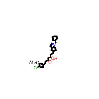 COc1cc(C=CC(=O)CC(O)CCc2ccc3c(ccn3Cc3ccccc3)c2)ccc1Cl